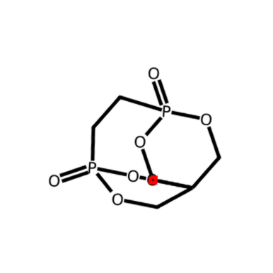 O=P12CCP3(=O)OCC(CO1)(CO2)CO3